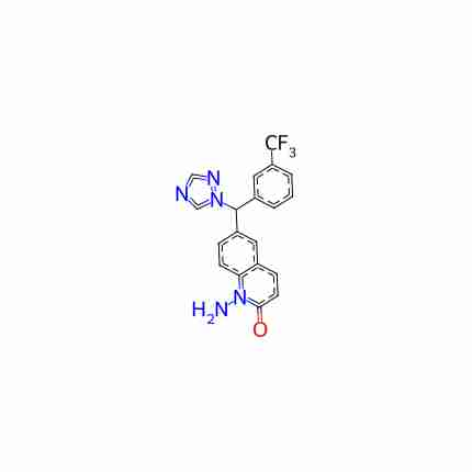 Nn1c(=O)ccc2cc(C(c3cccc(C(F)(F)F)c3)n3cncn3)ccc21